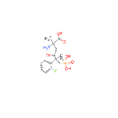 CC(N)(CC(=O)C(C)(CP(=O)(O)O)c1ccccc1F)C(=O)O